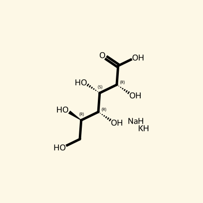 O=C(O)[C@H](O)[C@@H](O)[C@H](O)[C@H](O)CO.[KH].[NaH]